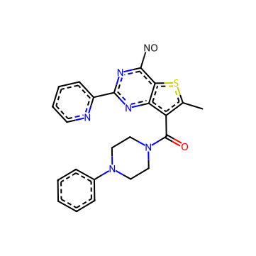 Cc1sc2c(N=O)nc(-c3ccccn3)nc2c1C(=O)N1CCN(c2ccccc2)CC1